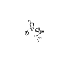 CCCNC(=O)c1c[nH]c2ncc(-c3nn(Cc4ccon4)c4cc(Cl)ccc34)nc12